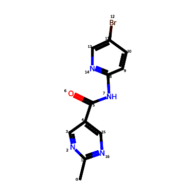 Cc1ncc(C(=O)Nc2ccc(Br)cn2)cn1